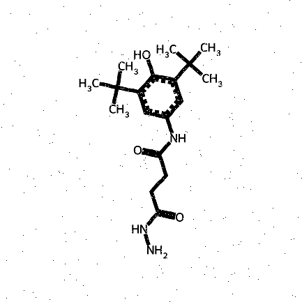 CC(C)(C)c1cc(NC(=O)CCC(=O)NN)cc(C(C)(C)C)c1O